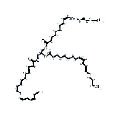 CC/C=C\C/C=C\C/C=C\CCCCCCCC(=O)OCC(COC(=O)CCCCCCC/C=C\CCCCCCCC)OC(=O)CCCCCCC/C=C\CCCCCCCC